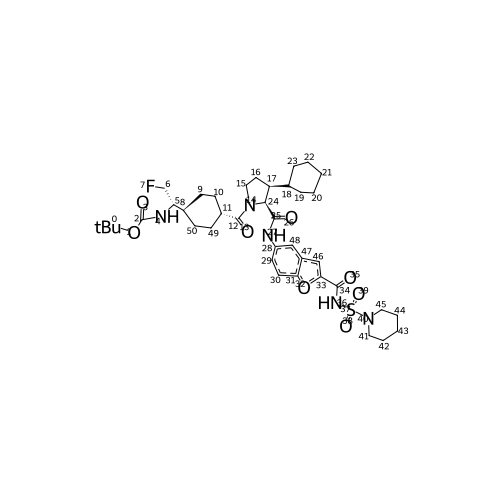 CC(C)(C)OC(=O)N[C@H](CF)[C@H]1CC[C@H](C(=O)N2CC[C@@H](C3CCCCC3)[C@H]2C(=O)Nc2ccc3oc(C(=O)NS(=O)(=O)N4CCCCC4)cc3c2)CC1